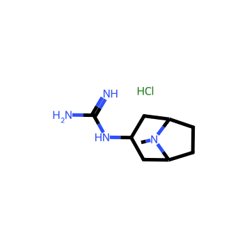 CN1C2CCC1CC(NC(=N)N)C2.Cl